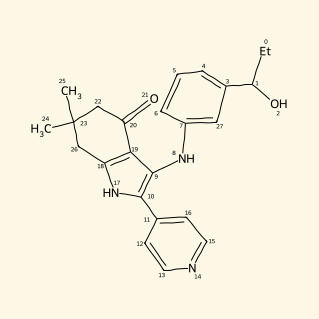 CCC(O)c1cccc(Nc2c(-c3ccncc3)[nH]c3c2C(=O)CC(C)(C)C3)c1